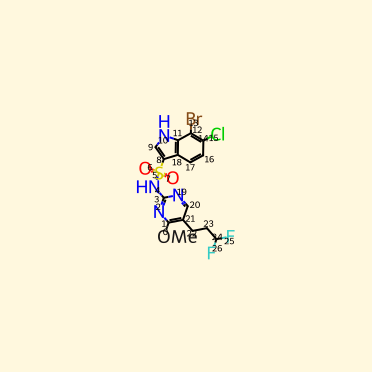 COc1nc(NS(=O)(=O)c2c[nH]c3c(Br)c(Cl)ccc23)ncc1CCC(F)F